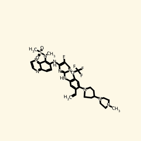 C=Cc1cc(Nc2ncc(F)c(Nc3ccc4nccnc4c3N(C)S(C)(=O)=O)n2)c(OC(F)(F)F)cc1N1CCC(N2CCN(C)CC2)CC1